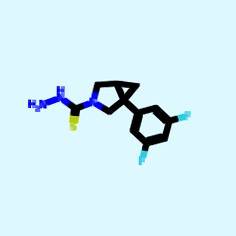 NNC(=S)N1CC2CC2(c2cc(F)cc(F)c2)C1